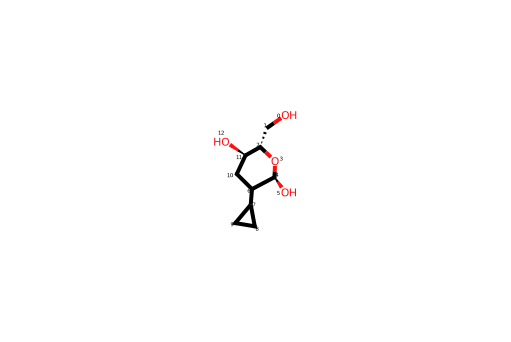 OC[C@@H]1O[C@@H](O)C(C2CC2)C[C@H]1O